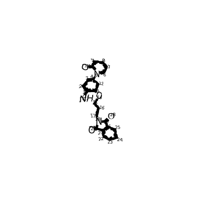 Nc1ccc(-n2ccccc2=O)cc1OCCCN1C(=O)c2ccccc2C1=O